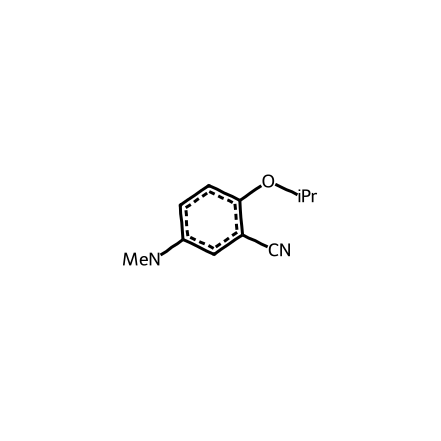 CNc1ccc(OC(C)C)c(C#N)c1